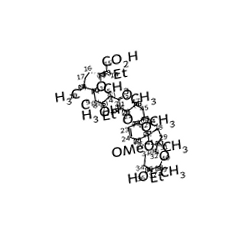 CC[C@@H](C(=O)[C@@H](C)[C@@H](O)[C@H](C)[C@@H]1O[C@@H]([C@@H](CC)C(=O)O)CC[C@@H]1C)[C@H]1O[C@]2(C=C[C@@H](OC)[C@]3(CC[C@@](C)([C@H]4CC[C@](O)(CC)[C@H](C)O4)O3)O2)[C@H](C)C[C@@H]1C